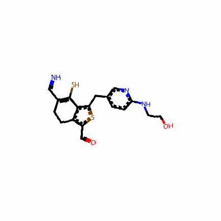 N=CC1=C(S)c2c(Cc3ccc(NCCO)nc3)sc(C=O)c2CC1